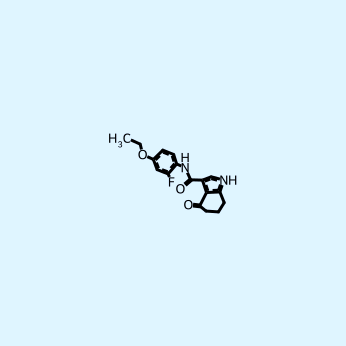 CCOc1ccc(NC(=O)c2c[nH]c3c2C(=O)CCC3)c(F)c1